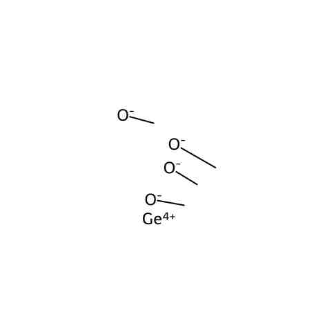 C[O-].C[O-].C[O-].C[O-].[Ge+4]